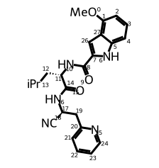 COc1cccc2[nH]c(C(=O)N[C@@H](CC(C)C)C(=O)N[C@H](C#N)Cc3ccccn3)cc12